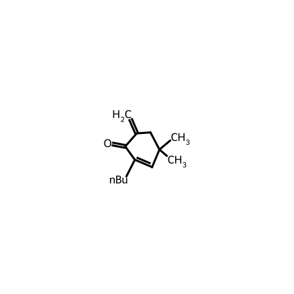 C=C1CC(C)(C)C=C(CCCC)C1=O